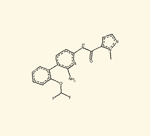 Cn1nccc1C(=O)Nc1ccc(-c2ccccc2OC(F)F)c(N)n1